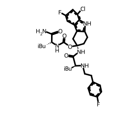 CCC(C)[C@H](NCCc1ccc(F)cc1)C(=O)N[C@@]1(OC(=O)NC(C(N)=O)[C@@H](C)CC)CCc2[nH]c3c(Cl)cc(F)cc3c2C1